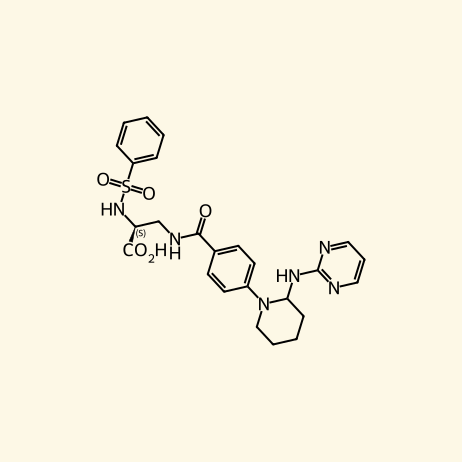 O=C(NC[C@H](NS(=O)(=O)c1ccccc1)C(=O)O)c1ccc(N2CCCCC2Nc2ncccn2)cc1